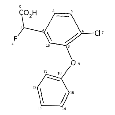 O=C(O)C(F)c1ccc(Cl)c(Oc2ccccc2)c1